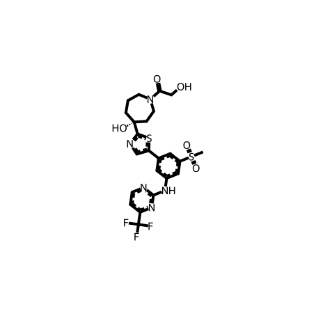 CS(=O)(=O)c1cc(Nc2nccc(C(F)(F)F)n2)cc(-c2cnc([C@@]3(O)CCCN(C(=O)CO)CC3)s2)c1